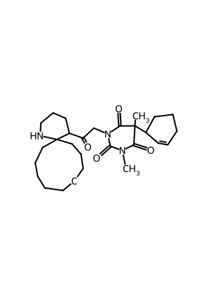 CN1C(=O)N(CC(=O)C2CCCNC23CCCCCCCCC3)C(=O)C(C)(C2C=CCCC2)C1=O